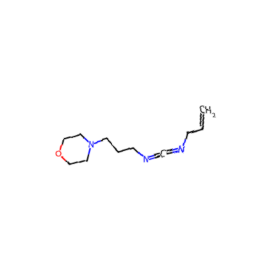 C=CCN=C=NCCCN1CCOCC1